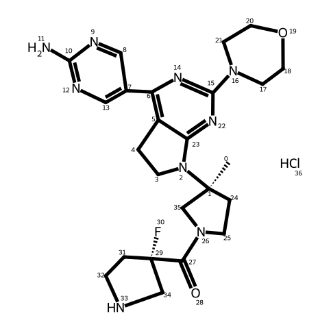 C[C@]1(N2CCc3c(-c4cnc(N)nc4)nc(N4CCOCC4)nc32)CCN(C(=O)[C@]2(F)CCNC2)C1.Cl